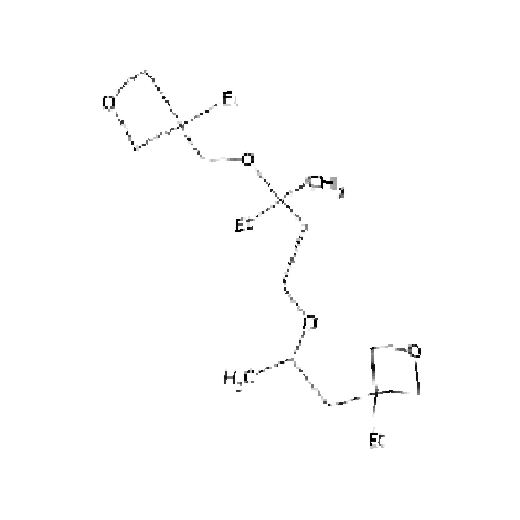 CCC1(COC(C)(CC)CCOC(C)CC2(CC)COC2)COC1